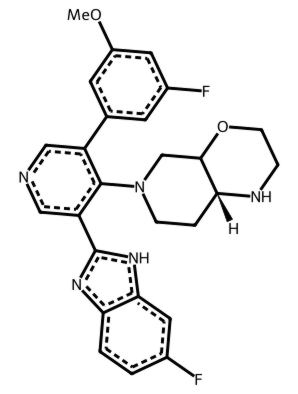 COc1cc(F)cc(-c2cncc(-c3nc4ccc(F)cc4[nH]3)c2N2CC[C@H]3NCCOC3C2)c1